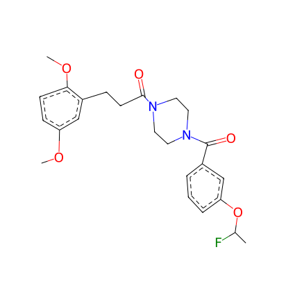 COc1ccc(OC)c(CCC(=O)N2CCN(C(=O)c3cccc(OC(C)F)c3)CC2)c1